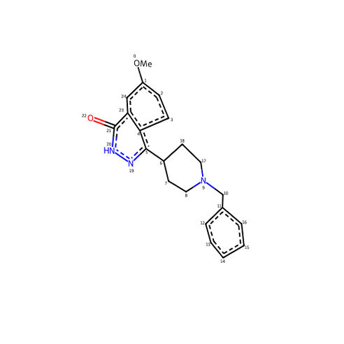 COc1ccc2c(C3CCN(Cc4ccccc4)CC3)n[nH]c(=O)c2c1